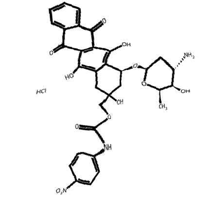 C[C@H]1O[C@@H](O[C@H]2CC(O)(COC(=O)Nc3ccc([N+](=O)[O-])cc3)Cc3c(O)c4c(c(O)c32)C(=O)c2ccccc2C4=O)C[C@H](N)[C@H]1O.Cl